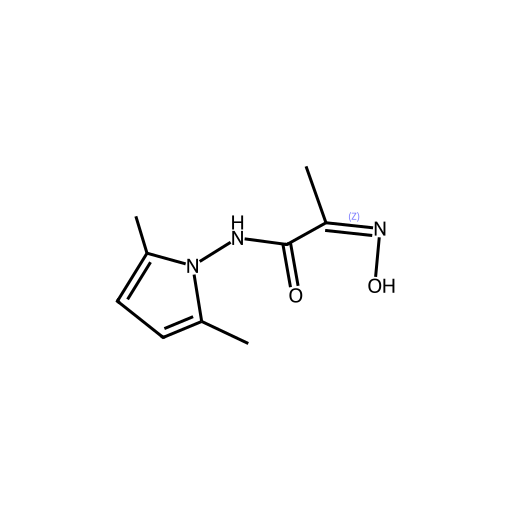 C/C(=N/O)C(=O)Nn1c(C)ccc1C